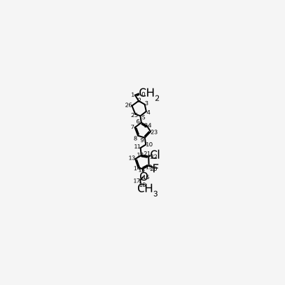 C=CC1CCC(c2ccc(CCc3ccc(OCC)c(F)c3Cl)cc2)CC1